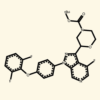 CC(C)(C)OC(=O)N1CCOC(c2nn(-c3ccc(Oc4c(F)cccc4F)cc3)c3cncc(F)c23)C1